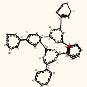 C1=CC(c2nc(-c3ccccc3)nc(-c3ccc(-c4cccnc4)cc3-c3nc(C4=CCCC=C4)nc(-c4ccccc4)n3)n2)=CCC1